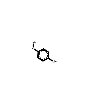 CC(C)(C)c1ccc(O[NH])cc1